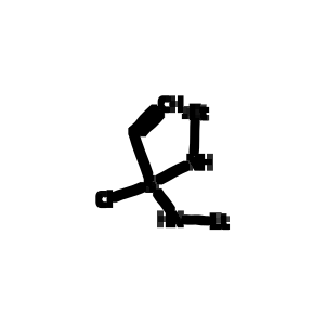 C=C[Si](Cl)(NCC)NCC